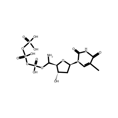 Cc1cn([C@H]2C[C@H](O)[C@@H](C(N)OP(=O)(O)OP(=O)(O)OP(=O)(O)O)O2)c(=O)[nH]c1=O